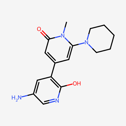 Cn1c(N2CCCCC2)cc(-c2cc(N)cnc2O)cc1=O